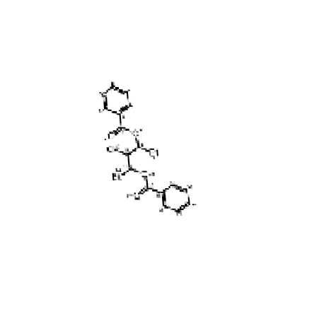 CCC(OC(=O)c1ccccc1)C(Cl)C(CC)OC(=O)c1ccccc1